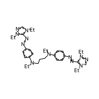 CCN(CCCN(CC)c1ccc(N=Nc2n(CC)nc[n+]2CC)cc1)c1ccc(N=Nc2n(CC)nc[n+]2CC)cc1